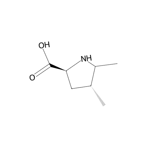 CC1N[C@H](C(=O)O)C[C@H]1C